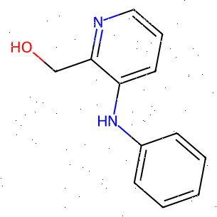 OCc1ncccc1Nc1ccccc1